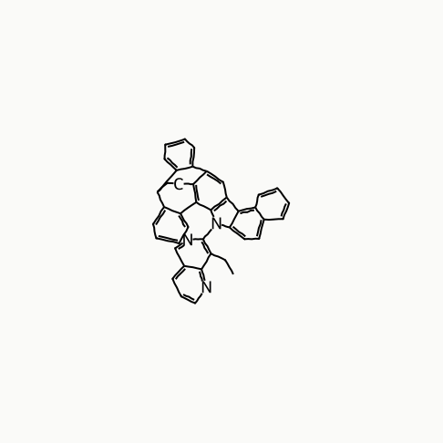 CCc1c(-n2c3ccc4ccccc4c3c3cc4c5c(c32)-c2ccccc2C(CC5)c2ccccc2-4)ncc2cccnc12